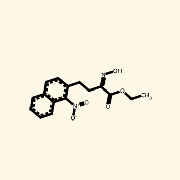 CCOC(=O)C(CCc1ccc2ccccc2c1[N+](=O)[O-])=NO